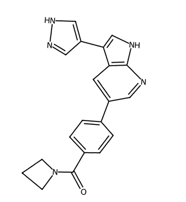 O=C(c1ccc(-c2cnc3[nH]cc(-c4cn[nH]c4)c3c2)cc1)N1CCC1